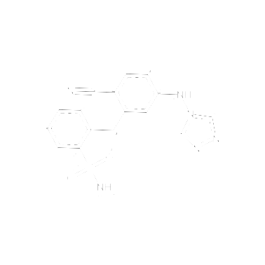 N#Cc1ccc(Nn2cnnc2)cc1Cc1ccccc1S(N)(=O)=O